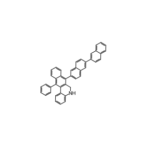 c1ccc(-c2c3c(c(-c4ccc5cc(-c6ccc7ccccc7c6)ccc5c4)c4ccccc24)CNc2ccccc2-3)cc1